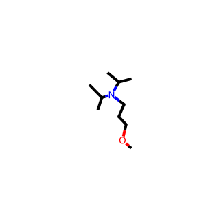 COCCCN(C(C)C)C(C)C